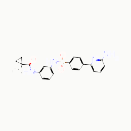 N#CC1(C(=O)Nc2cccc(NS(=O)(=O)c3ccc(-c4cccc(N)n4)cc3)c2)CC1